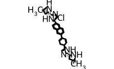 C[C@@H]1CN[C@H](c2ncc(C3C=CC(c4ccc5cc(-c6[nH]c([C@@H]7C[C@H](C)CN7)nc6Cl)ccc5c4)=CC3)[nH]2)C1